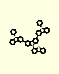 c1ccc(-n2c3ccccc3c3cc(-c4ccc5c(c4)c4cc(-c6ccc7c(c6)c6ccccc6n7-c6ccccc6)ccc4n5-c4cccc5c4oc4ccccc45)ccc32)cc1